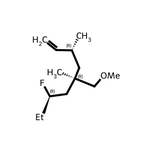 C=C[C@H](C)C[C@@](C)(COC)C[C@H](F)CC